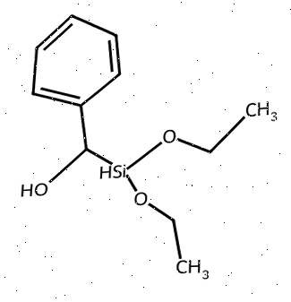 CCO[SiH](OCC)C(O)c1ccccc1